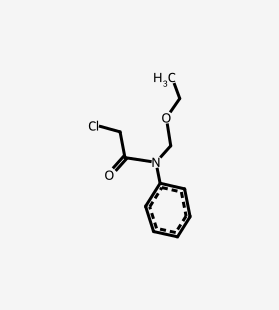 CCOCN(C(=O)CCl)c1ccccc1